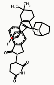 CC1(C)CCC(CN2C3CCC2CN(C(=O)c2ccc4c(c2)CN(C2CCC(=O)NC2=O)C4=O)C3)=C(c2ccc(F)cc2)C1